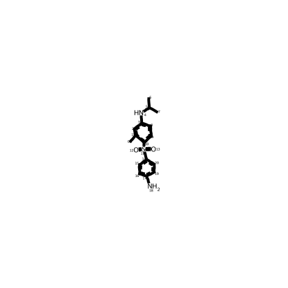 Cc1cc(NC(C)C)ccc1S(=O)(=O)c1ccc(N)cc1